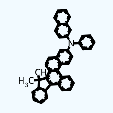 CC1(C)c2ccccc2-c2c1c1ccc3cc(N(c4ccccc4)c4ccc5ccccc5c4)ccc3c1c1ccccc21